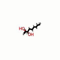 C=C(O)C(O)CCCCCC